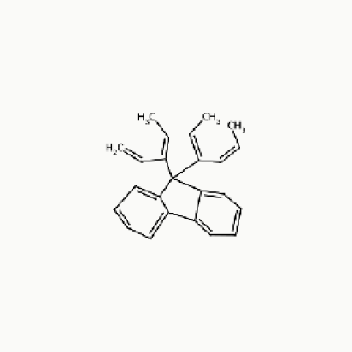 C=C/C(=C\C)C1(C(/C=C\C)=C/C)c2ccccc2-c2ccccc21